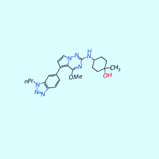 CCCn1nnc2ccc(-c3ccn4nc(NC5CCC(C)(O)CC5)nc(OC)c34)cc21